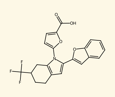 O=C(O)c1ccc(-n2c(-c3cc4ccccc4o3)cc3c2CC(C(F)(F)F)CC3)o1